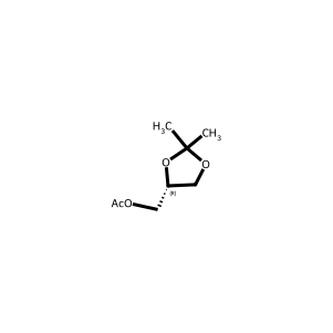 CC(=O)OC[C@H]1COC(C)(C)O1